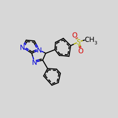 CS(=O)(=O)c1ccc(C2C(c3ccccc3)=Nc3nccn32)cc1